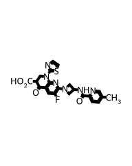 Cc1ccc(C(=O)NC2CN(c3nc4c(cc3F)C(=O)C(C(=O)O)CN4c3nccs3)C2)nc1